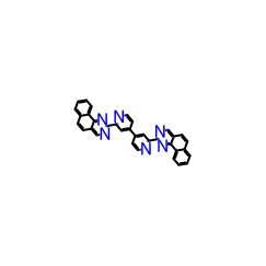 c1ccc2c(c1)ccc1cnc(-c3cc(-c4ccnc(-c5ncc6ccc7ccccc7c6n5)c4)ccn3)nc12